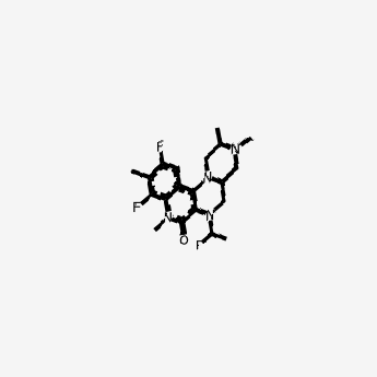 Cc1c(F)cc2c3c(c(=O)n(C)c2c1F)N(C(C)F)CC1CN(C)C(C)CN31